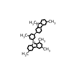 Cc1cc(-c2ccc3c4cc(C)ccc4n(C)c3c2)cc(-n2c3ccc(C)cc3c3cc(C)cc(C)c32)c1